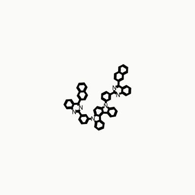 c1cc(-c2nc(-c3ccc4ccccc4c3)c3ccccc3n2)cc(-n2c3ccccc3c3c4c5ccccc5n(-c5cccc(-c6nc(-c7ccc8ccccc8c7)c7ccccc7n6)c5)c4ccc32)c1